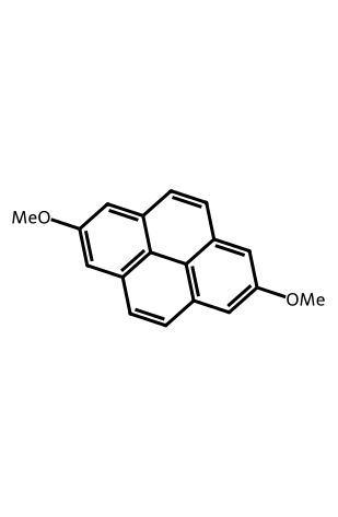 COc1cc2ccc3cc(OC)cc4ccc(c1)c2c34